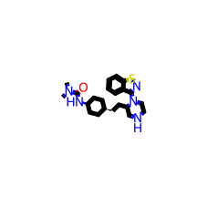 CN(C)C(=O)N[C@H]1CC[C@H](CCC2CNCCN2c2nsc3ccccc23)CC1